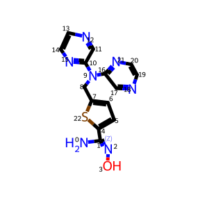 N/C(=N\O)c1ccc(CN(c2cnccn2)c2cnccn2)s1